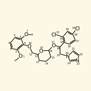 COc1cccc(OC)c1OCC1CCCC(OC(Cn2ccnc2)c2ccc(Cl)cc2Cl)O1